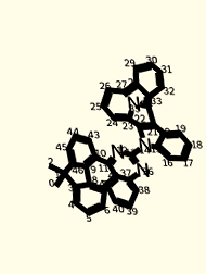 CC1(C)c2ccccc2-c2c(-c3nc(-n4c5ccccc5c5c4c4cccc6c7ccccc7c5n64)nc4ccccc34)cccc21